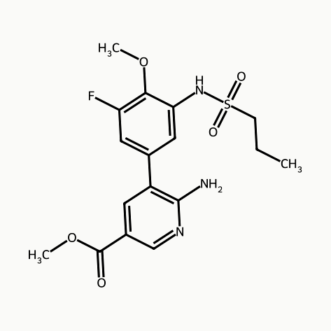 CCCS(=O)(=O)Nc1cc(-c2cc(C(=O)OC)cnc2N)cc(F)c1OC